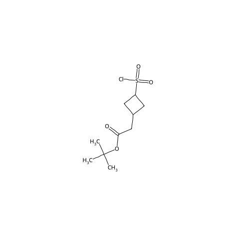 CC(C)(C)OC(=O)CC1CC(S(=O)(=O)Cl)C1